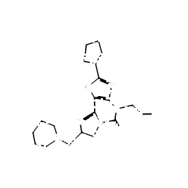 CCCN1C(=O)N2CC(CN3CCCCC3)N=C2c2[nH]c(C3CCCC3)nc21.Cl.Cl